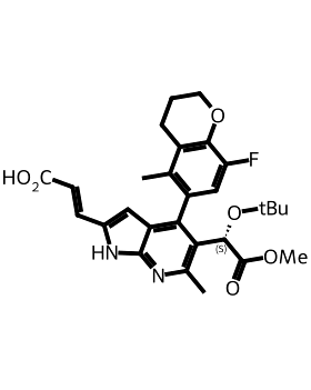 COC(=O)[C@@H](OC(C)(C)C)c1c(C)nc2[nH]c(C=CC(=O)O)cc2c1-c1cc(F)c2c(c1C)CCCO2